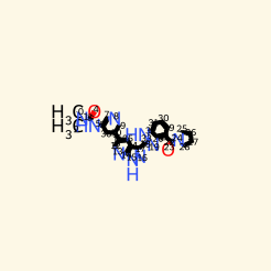 CN(C)C(=O)NC1=CN=CC(c2cnc3[nH]nc(-c4nc5c(C(=O)N6CCCC6)cccc5[nH]4)c3c2)C1